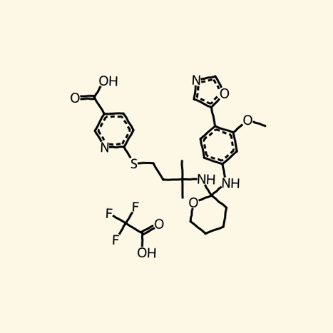 COc1cc(NC2(NC(C)(C)CCSc3ccc(C(=O)O)cn3)CCCCO2)ccc1-c1cnco1.O=C(O)C(F)(F)F